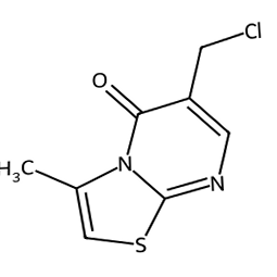 Cc1csc2ncc(CCl)c(=O)n12